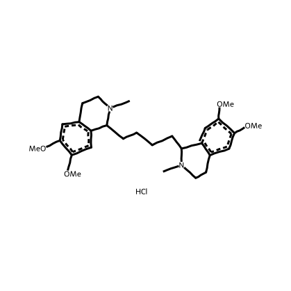 COc1cc2c(cc1OC)C(CCCCC1c3cc(OC)c(OC)cc3CCN1C)N(C)CC2.Cl